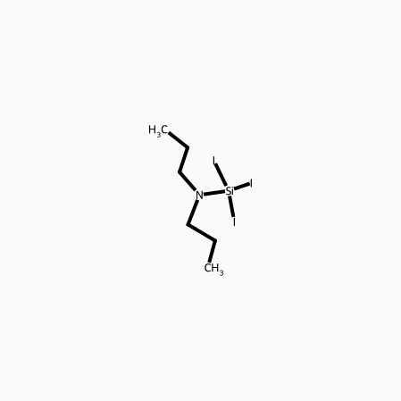 CCCN(CCC)[Si](I)(I)I